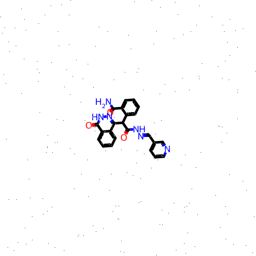 NC(=O)c1ccccc1C(C(=O)NN=Cc1cccnc1)c1n[nH]c(=O)c2ccccc12